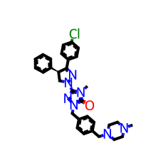 CN1CCN(Cc2ccc(Cn3nc(N4C[C@@H](c5ccccc5)C(c5ccc(Cl)cc5)=N4)n(C)c3=O)cc2)CC1